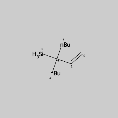 C=CC([SiH3])(CCCC)CCCC